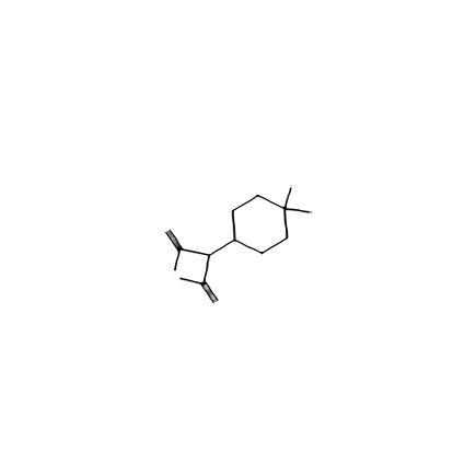 CCC1(CC)CCC(C2C(=O)OC2=O)CC1